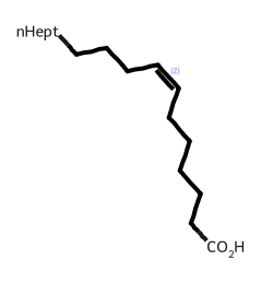 CCCCCCCCCC/C=C\CCCCCC(=O)O